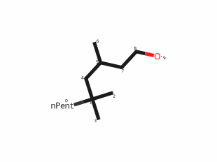 CCCCCC(C)(C)CC(C)CC[O]